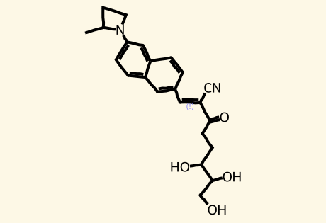 CC1CCN1c1ccc2cc(/C=C(\C#N)C(=O)CCC(O)C(O)CO)ccc2c1